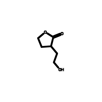 O=C1OCCC1CCO